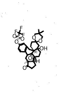 CC1(C)COC2(CC[C@@]34Cc5cc(OS(=O)(=O)C(F)(F)F)ccc5C5C[C@]6(C)C(=O)CC[C@H]6[C@H](CC[C@@]3(O)C2)[C@]54O)OC1